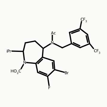 CC(=O)N(Cc1cc(C(F)(F)F)cc(C(F)(F)F)c1)C1CCC(C(C)C)N(C(=O)O)c2cc(F)c(Br)cc21